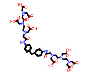 O=CCN(CCN(CCN(CC(=O)O)CC(=O)Nc1ccc(Cc2ccc(NC(=O)CN(CCN(CCN(CC(=O)O)CC(=O)O)CC(=O)O)CC(=O)O)cc2)cc1)CC(=O)O)CC(=O)O